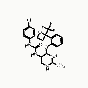 CC1NCC(NC(=O)Nc2ccc(Cl)cc2)C(Oc2ccccc2C2(C(F)(F)F)CCO2)N1